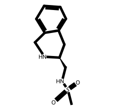 CS(=O)(=O)NC[C@@H]1Cc2ccccc2CN1